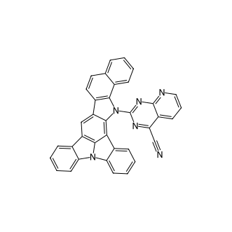 N#Cc1nc(-n2c3c4ccccc4ccc3c3cc4c5ccccc5n5c6ccccc6c(c32)c45)nc2ncccc12